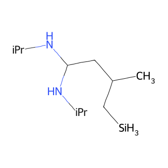 CC(C[SiH3])CC(NC(C)C)NC(C)C